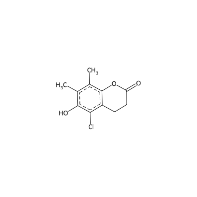 Cc1c(C)c2c(c(Cl)c1O)CCC(=O)O2